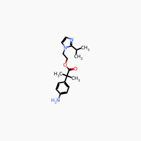 CC(C)c1nccn1CCOC(=O)C(C)(C)c1ccc(N)cc1